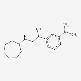 CN(C)c1cccc(C(O)CNC2CCCCCC2)c1